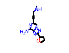 CNCC#Cc1cn2nc(-c3ccco3)nc2c(N)n1